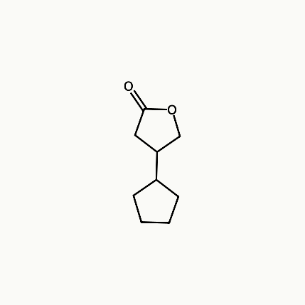 O=C1CC(C2CCCC2)CO1